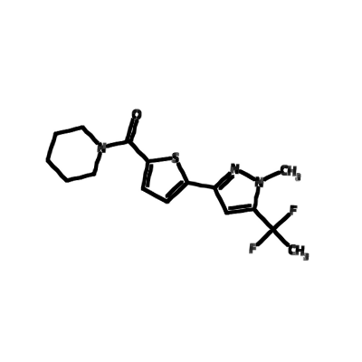 Cn1nc(-c2ccc(C(=O)N3CCCCC3)s2)cc1C(C)(F)F